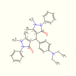 CCN(CC)c1ccc(C(c2c(C)n(C)n(-c3ccccc3)c2=O)c2c(C)n(C)n(-c3ccccc3)c2=O)cc1